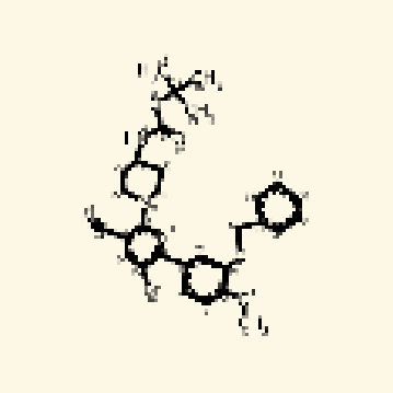 COc1ccc(-c2nc(N3CCC(NC(=O)OC(C)(C)C)CC3)c(C#N)cc2Br)cc1OCc1ccccc1